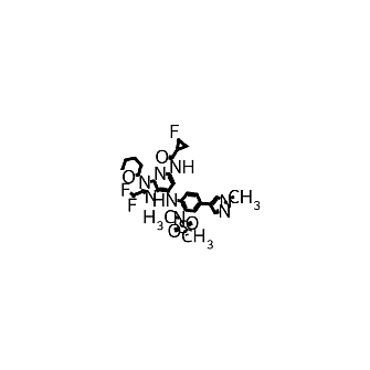 CN(c1cc(-c2cnn(C)c2)ccc1Nc1cc(NC(=O)C2CC2F)nc2c1nc(C(F)F)n2C1CCCCO1)S(C)(=O)=O